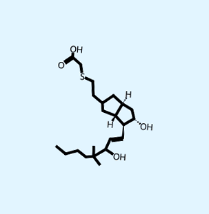 CCCCC(C)(C)C(O)C=C[C@H]1[C@@H]2CC(CCSCC(=O)O)C[C@H]2C[C@@H]1O